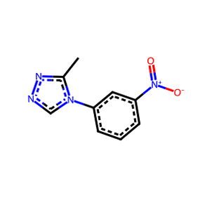 Cc1nncn1-c1cccc([N+](=O)[O-])c1